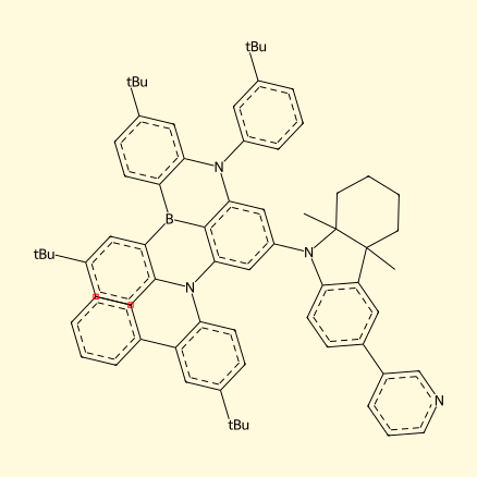 CC(C)(C)c1cccc(N2c3cc(C(C)(C)C)ccc3B3c4cc(C(C)(C)C)ccc4N(c4ccc(C(C)(C)C)cc4-c4ccccc4)c4cc(N5c6ccc(-c7cccnc7)cc6C6(C)CCCCC56C)cc2c43)c1